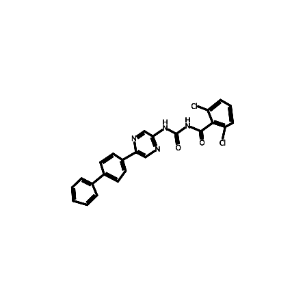 O=C(NC(=O)c1c(Cl)cccc1Cl)Nc1cnc(-c2ccc(-c3ccccc3)cc2)cn1